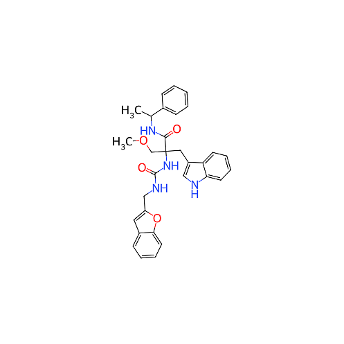 COCC(Cc1c[nH]c2ccccc12)(NC(=O)NCc1cc2ccccc2o1)C(=O)NC(C)c1ccccc1